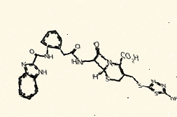 CCCc1nnc(SCC2=C(C(=O)O)N3C(=O)C(NC(=O)Cc4ccccc4NC(=O)c4nc5ccccc5[nH]4)[C@H]3SC2)s1